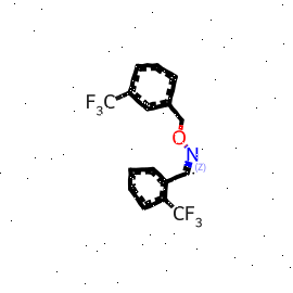 FC(F)(F)c1cccc(CO/N=[C]\c2ccccc2C(F)(F)F)c1